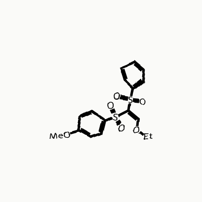 CCOC=C(S(=O)(=O)c1ccccc1)S(=O)(=O)c1ccc(OC)cc1